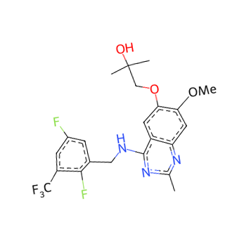 COc1cc2nc(C)nc(NCc3cc(F)cc(C(F)(F)F)c3F)c2cc1OCC(C)(C)O